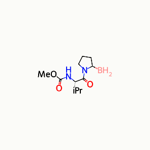 B[C@@H]1CCCN1C(=O)[C@@H](NC(=O)OC)C(C)C